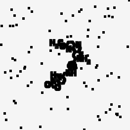 COc1ccc2ncc(F)c(CC(N)C34CCC(NCc5ccc6c(n5)NC(=O)CO6)(CC3)CO4)c2n1